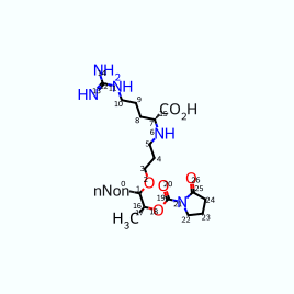 CCCCCCCCCC(OCCCN[C@@H](CCCNC(=N)N)C(=O)O)C(C)OC(=O)N1CCCC1=O